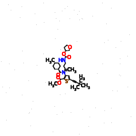 COC(=O)c1sc(C#CC(C)(C)C)cc1N(C(=O)[C@H]1CC[C@H](C)CC1)[C@@H](C)CCNC(=O)OC1CCOC1